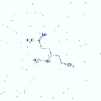 CCCC(CCC(C)=N)NC